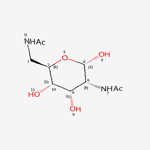 CC(=O)NC[C@H]1O[C@H](O)[C@H](NC(C)=O)[C@H](O)[C@@H]1O